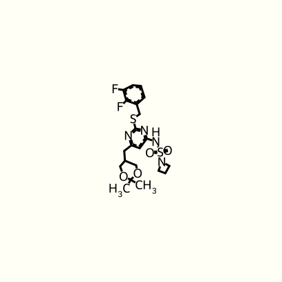 CC1(C)OCC(Cc2cc(NS(=O)(=O)N3CCC3)nc(SCc3cccc(F)c3F)n2)CO1